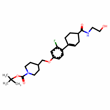 CC(C)(C)OC(=O)N1CCC(COc2ccc(C3=CCC(C(=O)NCCO)CC3)c(F)c2)CC1